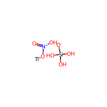 O=[N+]([O-])O.[O-][Si](O)(O)O.[Tl+]